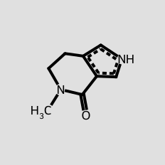 CN1CCc2c[nH]cc2C1=O